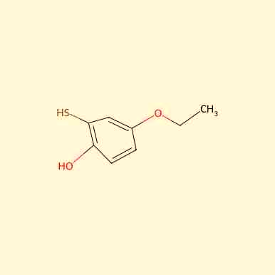 CCOc1ccc(O)c(S)c1